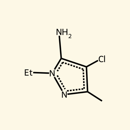 CCn1nc(C)c(Cl)c1N